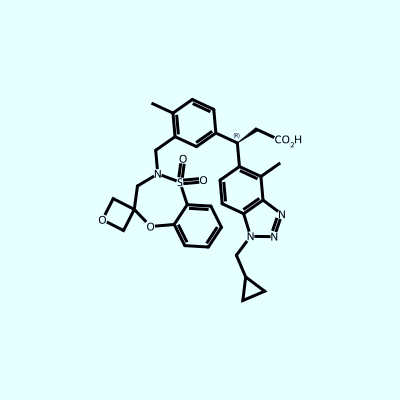 Cc1ccc([C@@H](CC(=O)O)c2ccc3c(nnn3CC3CC3)c2C)cc1CN1CC2(COC2)Oc2ccccc2S1(=O)=O